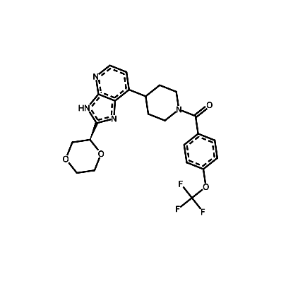 O=C(c1ccc(OC(F)(F)F)cc1)N1CCC(c2ccnc3[nH]c([C@@H]4COCCO4)nc23)CC1